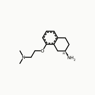 CN(C)CCOc1cccc2c1C[C@H](N)CC2